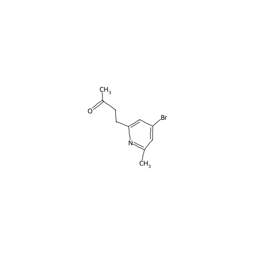 CC(=O)CCc1cc(Br)cc(C)n1